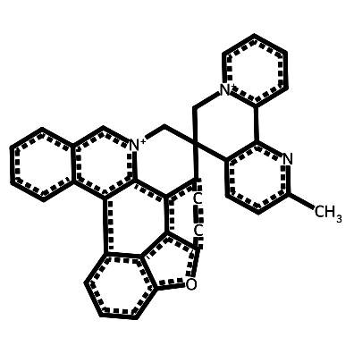 Cc1ccc2c(n1)-c1cccc[n+]1CC21C[n+]2cc3ccccc3c3c4cccc5oc6ccc1c(c6c54)c32